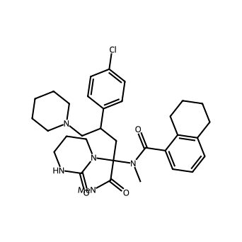 CNC(=O)C(CC(CN1CCCCC1)c1ccc(Cl)cc1)(N(C)C(=O)c1cccc2c1CCCC2)N1CCCNC1=O